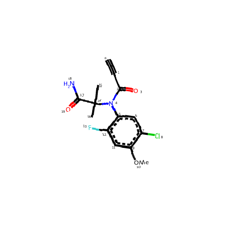 C#CC(=O)N(c1cc(Cl)c(OC)cc1F)C(C)(C)C(N)=O